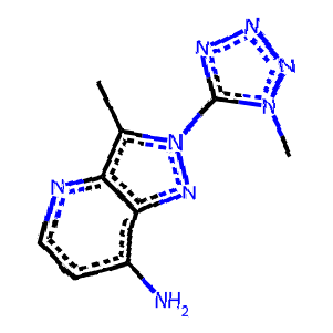 Cc1c2nccc(N)c2nn1-c1nnnn1C